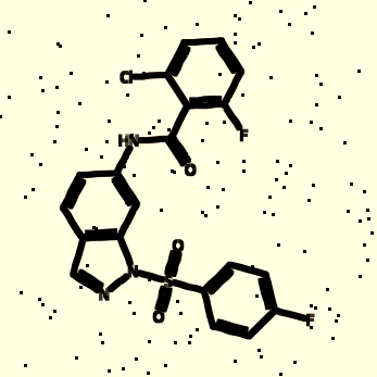 O=C(Nc1ccc2cnn(S(=O)(=O)c3ccc(F)cc3)c2c1)c1c(F)cccc1Cl